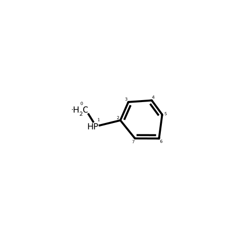 [CH2]Pc1ccccc1